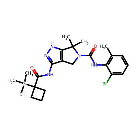 Cc1cccc(Br)c1NC(=O)N1Cc2c(NC(=O)C3([Si](C)(C)C)CCC3)n[nH]c2C1(C)C